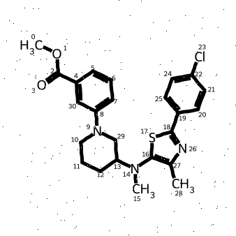 COC(=O)c1cccc(N2CCCC(N(C)c3sc(-c4ccc(Cl)cc4)nc3C)C2)c1